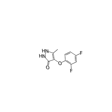 Cc1[nH][nH]c(=O)c1Oc1ccc(F)cc1F